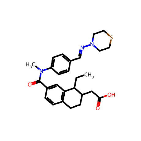 CCC1c2cc(C(=O)N(C)c3ccc(C=NN4CCSCC4)cc3)ccc2CCC1CC(=O)O